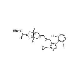 CC(C)(C)OC(=O)N1C[C@H]2C[C@H](COCc3c(-c4c(Cl)cccc4Cl)noc3C3CC3)C[C@H]2C1